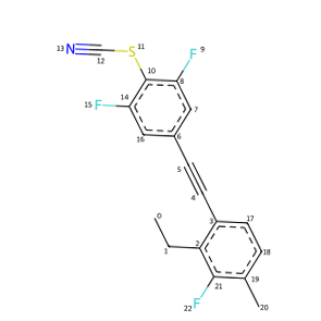 CCc1c(C#Cc2cc(F)c(SC#N)c(F)c2)ccc(C)c1F